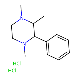 CC1C(c2ccccc2)N(C)CCN1C.Cl.Cl